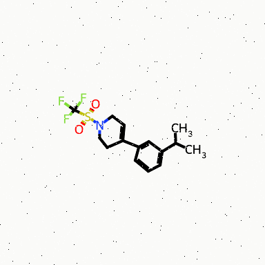 CC(C)c1cccc(C2=CCN(S(=O)(=O)C(F)(F)F)CC2)c1